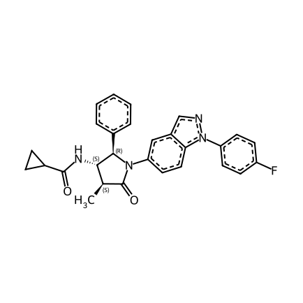 C[C@@H]1C(=O)N(c2ccc3c(cnn3-c3ccc(F)cc3)c2)[C@H](c2ccccc2)[C@H]1NC(=O)C1CC1